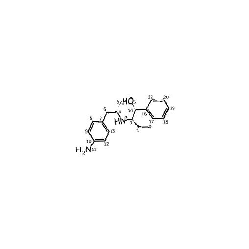 CC[C@@H](N[C@@H](C)Cc1ccc(N)cc1)[C@H](O)c1ccccc1